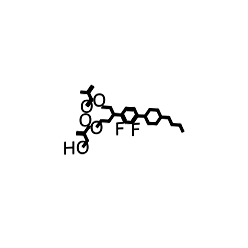 C=C(C)C(=O)OCCC(CCOC(=O)C(=C)CO)c1ccc(C2CCC(CCCC)CC2)c(F)c1F